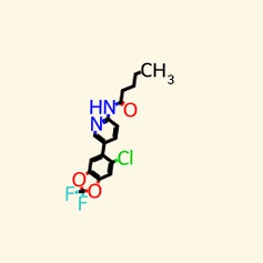 CCCCC(=O)Nc1ccc(-c2cc3c(cc2Cl)OC(F)(F)O3)cn1